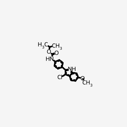 COc1ccc2c(Cl)c(-c3ccc(NC(=O)OC(C)C)cc3)[nH]c2c1